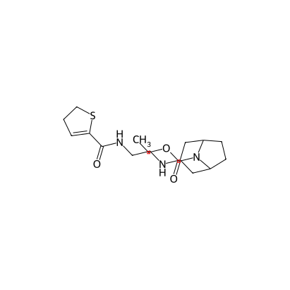 CCOC(=O)N1C2CCC1CC(NCCNC(=O)C1=CCCS1)C2